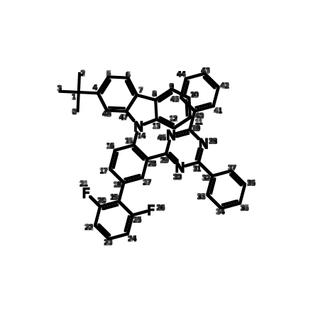 CC(C)(C)c1ccc2c3ccccc3n(-c3ccc(-c4c(F)cccc4F)cc3-c3nc(-c4ccccc4)nc(-c4ccccc4)n3)c2c1